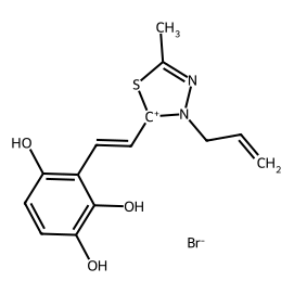 C=CCn1nc(C)s[c+]1C=Cc1c(O)ccc(O)c1O.[Br-]